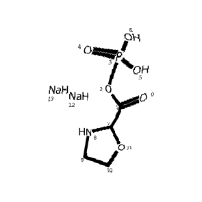 O=C(OP(=O)(O)O)C1NCCO1.[NaH].[NaH]